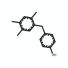 Cc1cc(C)c(Cc2ccc(O)cc2)cc1C